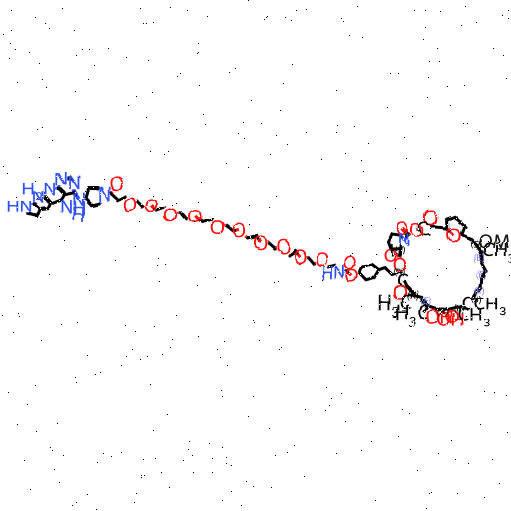 CO[C@H]1CC2CCCC(O2)C(=O)COC(=O)N2CCCC[C@H]2C(=O)O[C@H](CCC2CCC(OC(=O)NCCOCCOCCOCCOCCOCCOCCOCCOCCOCCOCCC(=O)N3CCC(Nc4ncnc(N)c4C(=N)c4cnc5[nH]ccc5c4)CC3)CC2)CC(=O)[C@H](C)/C=C(\C)C(O)[C@@H](O)C(=O)[C@H](C)C[C@H](C)/C=C/C=C/C=C/1C